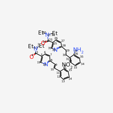 CCN(CC)C(=O)c1ccc(/C=C/c2ccccc2[N+](=O)[O-])nc1.CCN(CC)C(=O)c1ccc(CCc2ccccc2N)nc1